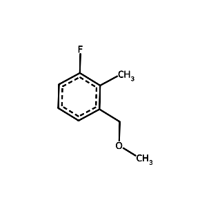 COCc1cccc(F)c1C